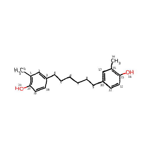 Cc1cc(CCCCCCc2ccc(O)c(C)c2)ccc1O